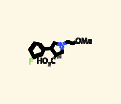 COCCN1CC(c2cccc(F)c2)[C@H](C(=O)O)C1